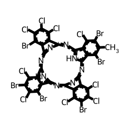 Cc1c(Br)c(Cl)c2c3nc4nc(nc5[nH]c(nc6nc(nc([nH]3)c2c1Br)-c1c(Cl)c(Cl)c(Br)c(Cl)c1-6)c1c(Br)c(Cl)c(Br)c(Cl)c51)-c1c(Br)c(Cl)c(Cl)c(Cl)c1-4